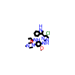 C=CC(=O)Nc1cc(Nc2ncc(Cl)c(-c3c[nH]c4ccccc34)n2)c(OC)cc1N1CCN(C)CC1